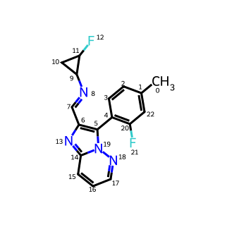 Cc1ccc(-c2c(/C=N/C3CC3F)nc3cccnn23)c(F)c1